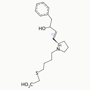 O=C(O)CSCCCCN1CCC[C@@H]1/C=C/C(O)Cc1ccccc1